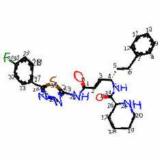 O=C(C=C[C@H](CCc1ccccc1)NC(=O)[C@@H]1CCCCN1)Nc1nnc(-c2ccc(F)cc2)s1